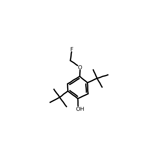 CC(C)(C)c1cc(OCF)c(C(C)(C)C)cc1O